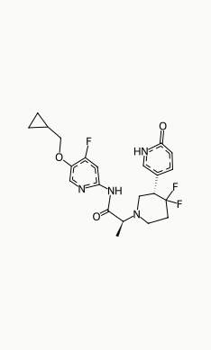 C[C@@H](C(=O)Nc1cc(F)c(OCC2CC2)cn1)N1CCC(F)(F)[C@@H](c2ccc(=O)[nH]c2)C1